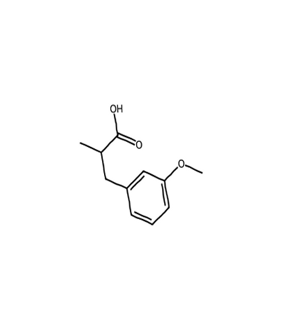 COc1cccc(CC(C)C(=O)O)c1